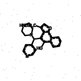 CCOC(=O)c1coc2c1c(C(c1ccncc1)N1CCNCC1)c(O)c1ccccc12